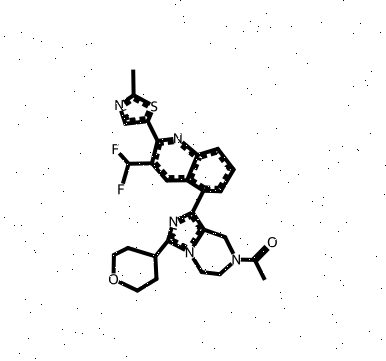 CC(=O)N1CCn2c(C3CCOCC3)nc(-c3cccc4nc(-c5cnc(C)s5)c(C(F)F)cc34)c2C1